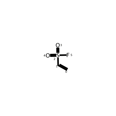 C=CS(=O)(=O)F